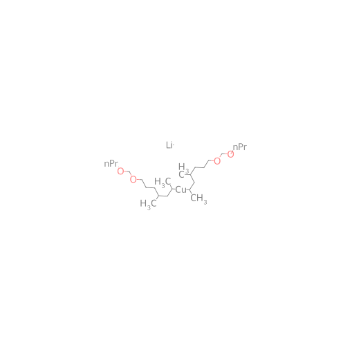 CCCOCOCCCC(C)C[CH](C)[Cu][CH](C)CC(C)CCCOCOCCC.[Li]